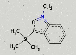 Cn1cc([Si](C)(C)C)c2ccccc21